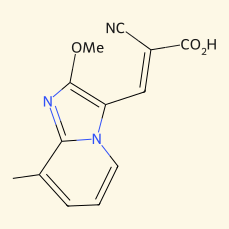 COc1nc2c(C)cccn2c1/C=C(\C#N)C(=O)O